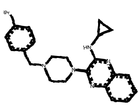 CC(C)c1ccc(CN2CCN(c3nc4ccccc4nc3NC3CC3)CC2)cc1